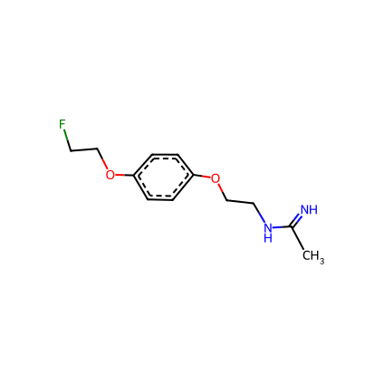 CC(=N)NCCOc1ccc(OCCF)cc1